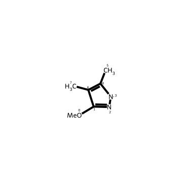 COC1=N[N]C(C)=C1C